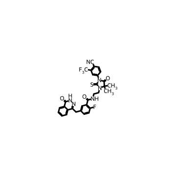 CC1(C)C(=O)N(c2ccc(C#N)c(C(F)(F)F)c2)C(=S)N1CCNC(=O)c1cc(Cc2n[nH]c(=O)c3ccccc23)ccc1F